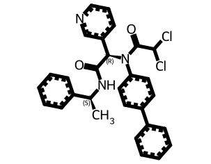 C[C@H](NC(=O)[C@@H](c1cccnc1)N(C(=O)C(Cl)Cl)c1ccc(-c2ccccc2)cc1)c1ccccc1